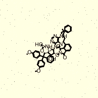 CCCCCc1cccc2c1C(=O)N(O[C@@H]1[C@H](O)[C@@H](C(OP(N)O)C(c3ccccc3)(c3ccc(OC)cc3)c3ccc(OC)cc3)O[C@H]1n1cnc3c(NCc4ccccc4)ncnc31)C2=O